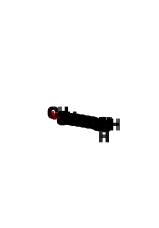 C=C1CC[C@@H](NC(=O)CCOCCOCCOCCOCCOCCOCCOCCOCCOCCOCCOCCOCCNC(=O)CCCC[C@@H]2SC[C@@H]3NC(=O)N[C@@H]32)C/C1=C/C=C1\CCC[C@@]2(C)C1CC[C@@H]2C(C)/C=C/C(C)C(C)(C)O